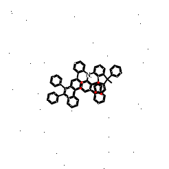 CC1(c2ccccc2)c2ccccc2-c2c(N(c3ccccc3-c3ccc4c(c3)c(-c3ccccc3)c(-c3ccccc3)c3ccccc34)c3cccc4c3ccc3ccccc34)cccc21